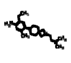 CCc1cc(N2CCC3(CC2)CN(CCN(C)C)C3)c(C)cc1N